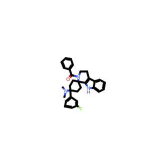 CN(C)C1(c2cccc(F)c2)CCC2(CC1)c1[nH]c3ccccc3c1CCN2C(=O)c1ccccc1